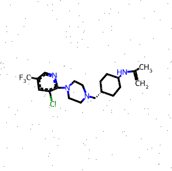 C=C(C)N[C@H]1CC[C@H](CN2CCN(c3ncc(C(F)(F)F)cc3Cl)CC2)CC1